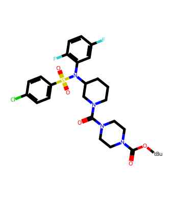 CC(C)(C)OC(=O)N1CCN(C(=O)N2CCCC(N(c3cc(F)ccc3F)S(=O)(=O)c3ccc(Cl)cc3)C2)CC1